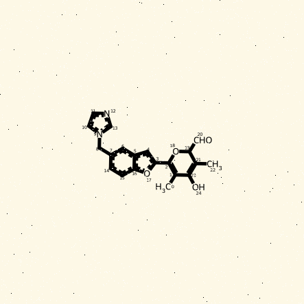 CC1=C(c2cc3cc(Cn4ccnc4)ccc3o2)OC(C=O)C(C)=C1O